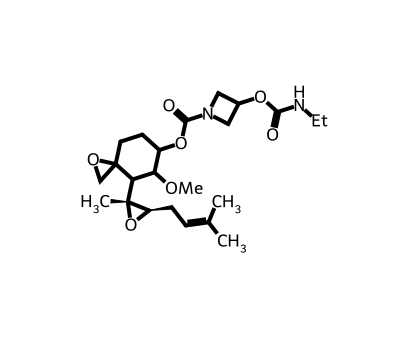 CCNC(=O)OC1CN(C(=O)OC2CCC3(CO3)C([C@@]3(C)O[C@@H]3CC=C(C)C)C2OC)C1